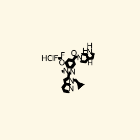 Cl.Cn1c(-c2cc3cccnc3n2CC2CC2)nc2cc(C(=O)N3CC[C@H]4CCN[C@H]4C3)cc(OC(F)F)c21